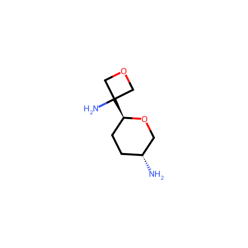 N[C@@H]1CC[C@@H](C2(N)COC2)OC1